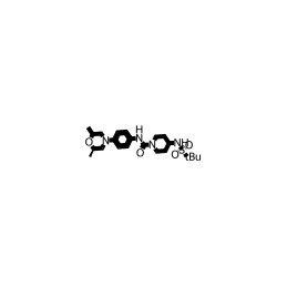 CC1CN(c2ccc(NC(=O)N3CCC(NS(=O)(=O)C(C)(C)C)CC3)cc2)C[C@@H](C)O1